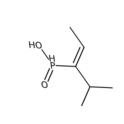 CC=C(C(C)C)[PH](=O)O